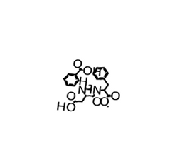 COC(=O)C(Cc1ccccc1)NC(=O)C(N)CC(=O)O.O=C(O)c1ccccc1